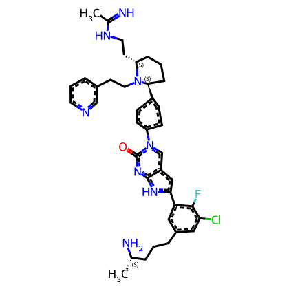 CC(=N)NCC[C@@H]1CCC[C@@H](c2ccc(-n3cc4cc(-c5cc(CCC[C@H](C)N)cc(Cl)c5F)[nH]c4nc3=O)cc2)N1CCc1cccnc1